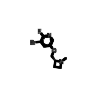 CN1CC[C@H]1COc1cnc(F)c(Br)c1